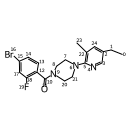 CCc1cnc(N2CCN(C(=O)c3ccc(Br)cc3F)CC2)c(C)c1